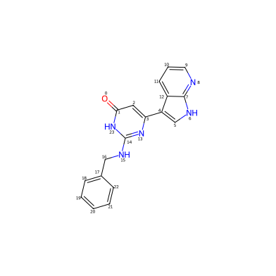 O=c1cc(-c2c[nH]c3ncccc23)nc(NCc2ccccc2)[nH]1